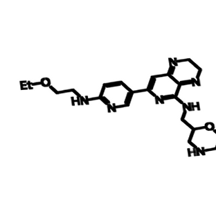 CCOCCNc1ccc(-c2cc3c(c(NCC4CNCCO4)n2)=NCCN=3)cn1